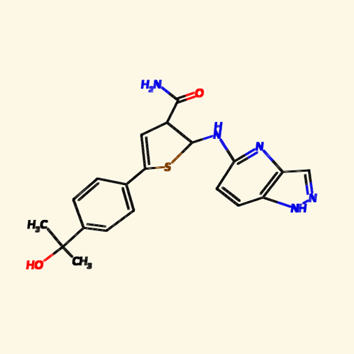 CC(C)(O)c1ccc(C2=CC(C(N)=O)C(Nc3ccc4[nH]ncc4n3)S2)cc1